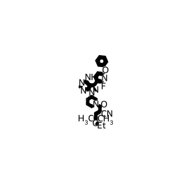 CCOC(C)(C)C=C(C#N)C(=O)N1CCC[C@@H](n2nc(-c3ccc(Oc4ccccc4)nc3F)c3c(N)ncnc32)C1